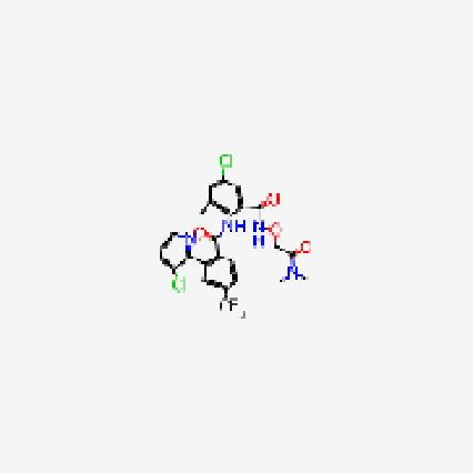 Cc1cc(Cl)cc(C(=O)NOCC(=O)N(C)C)c1NC(=O)c1ccc(C(F)(F)F)cc1-c1ncccc1Cl